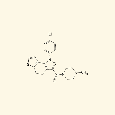 CN1CCN(C(=O)c2nn(-c3ccc(Cl)cc3)c3c2CCc2sccc2-3)CC1